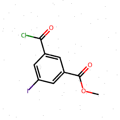 COC(=O)c1cc(I)cc(C(=O)Cl)c1